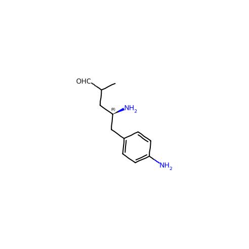 CC(C=O)C[C@@H](N)Cc1ccc(N)cc1